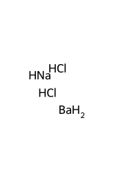 Cl.Cl.[BaH2].[NaH]